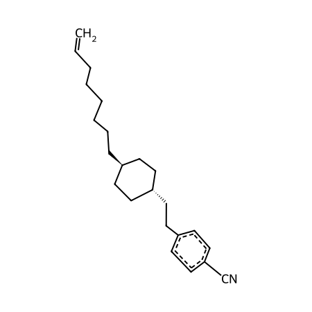 C=CCCCCCC[C@H]1CC[C@H](CCc2ccc(C#N)cc2)CC1